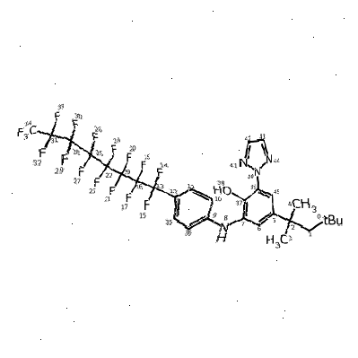 CC(C)(C)CC(C)(C)c1cc(Nc2ccc(C(F)(F)C(F)(F)C(F)(F)C(F)(F)C(F)(F)C(F)(F)C(F)(F)C(F)(F)F)cc2)c(O)c(-n2nccn2)c1